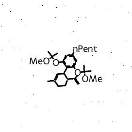 C=C(C)C1CCC(C)=CC1c1c(OC(C)(C)OC)cc(CCCCC)cc1OC(C)(C)OC